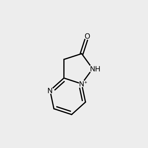 O=C1Cc2nccc[n+]2N1